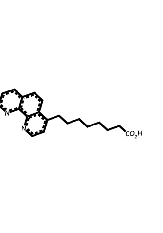 O=C(O)CCCCCCCc1ccnc2c1ccc1cccnc12